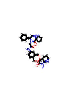 O=C(CN1C(=O)C2(CCCC2)NCC1c1ccccc1)Nc1ccc2c(c1)COC1(OC2)C(=O)Nc2ncccc21